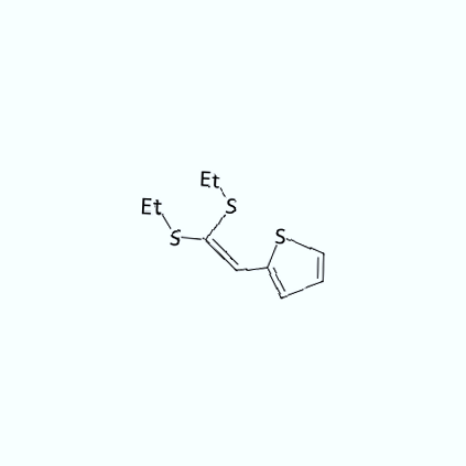 CCSC(=Cc1cccs1)SCC